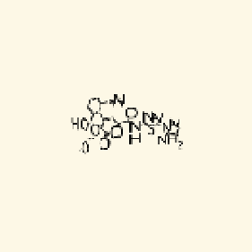 COCCOc1c(-c2c(C#N)cccc2CO)cc(C(=O)Nc2nnc(-n3nccc3N)s2)oc1=O